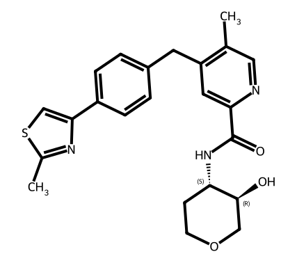 Cc1nc(-c2ccc(Cc3cc(C(=O)N[C@H]4CCOC[C@@H]4O)ncc3C)cc2)cs1